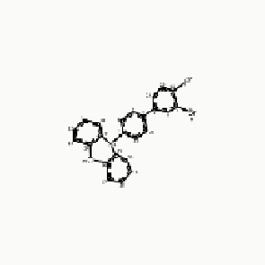 Brc1cc(-c2ccc(N3c4ccccc4Oc4ccccc43)cc2)ccc1I